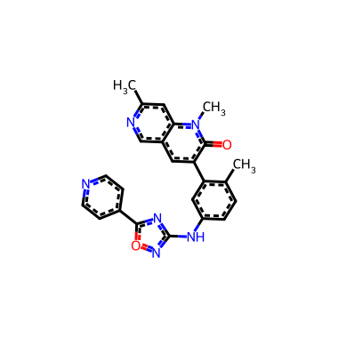 Cc1cc2c(cn1)cc(-c1cc(Nc3noc(-c4ccncc4)n3)ccc1C)c(=O)n2C